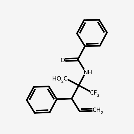 C=CC(c1ccccc1)C(NC(=O)c1ccccc1)(C(=O)O)C(F)(F)F